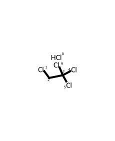 Cl.ClCC(Cl)(Cl)Cl